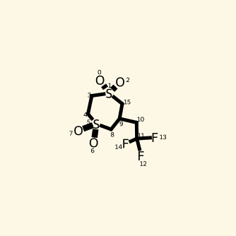 O=S1(=O)CCS(=O)(=O)CC(CC(F)(F)F)C1